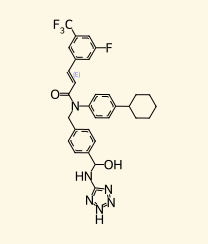 O=C(/C=C/c1cc(F)cc(C(F)(F)F)c1)N(Cc1ccc(C(O)Nc2nn[nH]n2)cc1)c1ccc(C2CCCCC2)cc1